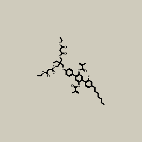 C=C(C)C(=O)Oc1cc(-c2ccc(CCCCCCC)cc2F)c(OC(=O)C(=C)C)cc1-c1ccc(OCC(CC)(COC(=O)CC(=O)OCC)COC(=O)CC(=O)OCC)cc1